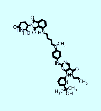 C=CCn1c(=O)c2cnc(Nc3ccc(N(C)CCCCNc4cccc5c4C(=O)N(C4CCC(=O)NC4O)C5=O)cc3)nc2n1-c1cccc(C(C)(C)O)n1